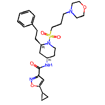 O=C(N[C@H]1CCN(S(=O)(=O)CCCN2CCOCC2)[C@H](CCc2ccccc2)C1)c1cc(C2CC2)on1